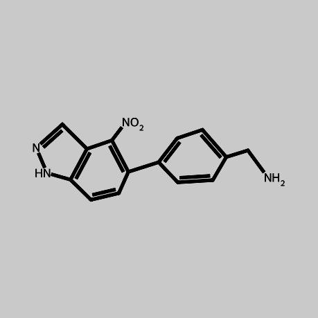 NCc1ccc(-c2ccc3[nH]ncc3c2[N+](=O)[O-])cc1